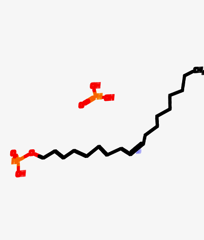 CCCCCCCC/C=C\CCCCCCCCO[PH](=O)O.O=[PH](O)O